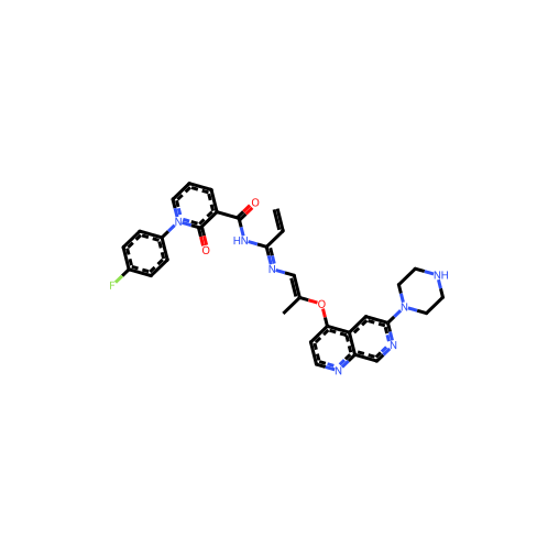 C=C/C(=N\C=C(/C)Oc1ccnc2cnc(N3CCNCC3)cc12)NC(=O)c1cccn(-c2ccc(F)cc2)c1=O